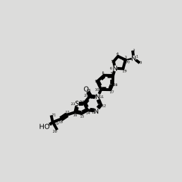 CN(C)[C@@H]1CCN(c2ccc(-n3cnc4cc(C#CC(C)(C)O)sc4c3=O)cc2)C1